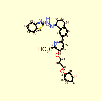 O=C(O)c1nc(-c2ccc3c(c2)C(=NNc2nc4ccccc4s2)CCC3)ccc1OCCCOc1ccccc1